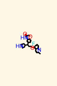 Cc1ccc2c(OCCC(c3ccc4c(c3)NC(=O)CO4)C3CCNCC3)c(F)ccc2n1